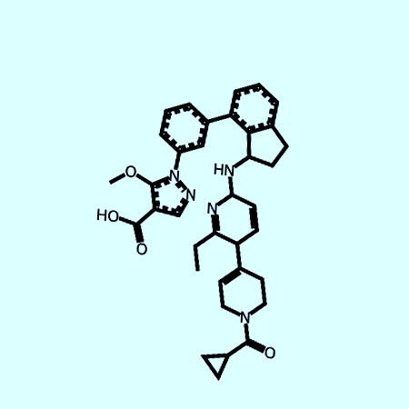 CCC1=NC(NC2CCc3cccc(-c4cccc(-n5ncc(C(=O)O)c5OC)c4)c32)C=CC1C1=CCN(C(=O)C2CC2)CC1